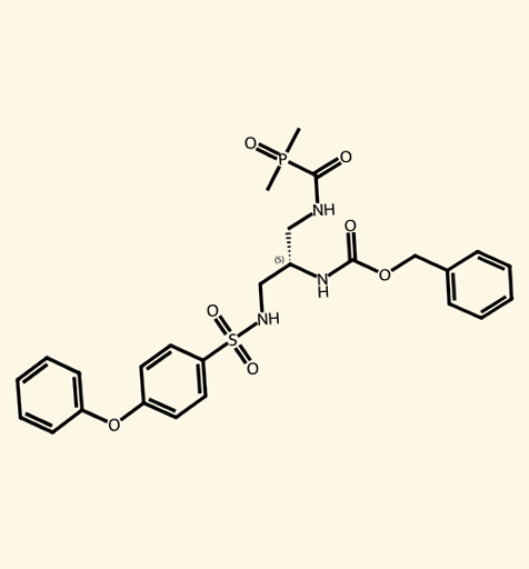 CP(C)(=O)C(=O)NC[C@@H](CNS(=O)(=O)c1ccc(Oc2ccccc2)cc1)NC(=O)OCc1ccccc1